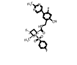 Cc1ncc(-c2cc(CNC(=O)[C@@H]3C[C@@H](F)[C@H](C)N3S(=O)(=O)c3ccc(F)cc3)c(C#N)cc2F)cn1